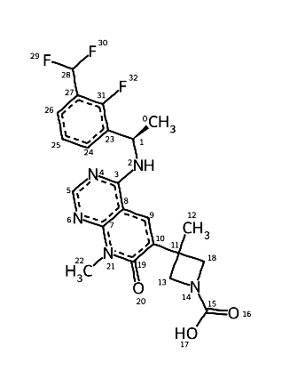 C[C@@H](Nc1ncnc2c1cc(C1(C)CN(C(=O)O)C1)c(=O)n2C)c1cccc(C(F)F)c1F